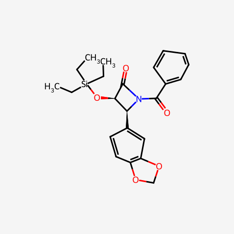 CC[Si](CC)(CC)O[C@H]1C(=O)N(C(=O)c2ccccc2)[C@H]1c1ccc2c(c1)OCO2